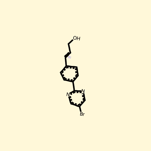 OC/C=C/c1ccc(-c2ncc(Br)cn2)cc1